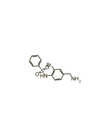 NCc1ccc(NS(=O)(=O)c2ccccc2)c(Br)c1